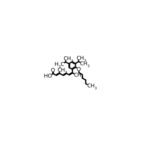 CCCCCCOc1c(\C(C)=C/C=C/C(C)=C/C(=O)O)cc(C(C)C)cc1C(C)C